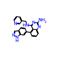 Nc1nc(NCc2cccnc2)c2c(-c3ccc4cn[nH]c4c3)cccc2n1